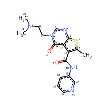 Cc1sc2ncn(CCN(C)C)c(=O)c2c1C(=O)Nc1cccnc1